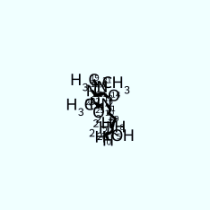 [2H]C([2H])([2H])[C@H](O)C([2H])([2H])CCCn1c(=O)c2c(nc(C)n2C)n(C)c1=O